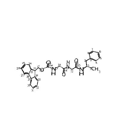 CC(Cc1ccccc1)NC(=O)CNC(=O)CNC(=O)OCC1c2ccccc2-c2ccccc21